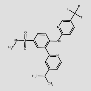 CNS(=O)(=O)c1ccc(Nc2ccc(C(F)(F)F)cn2)c(-c2cc(C(C)C)ccn2)c1